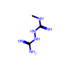 [CH2]NC(=N)NNC(=N)N